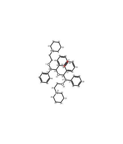 c1ccc(B(OCCN2CCCCC2)C(OC(B(OCCN2CCCCC2)c2ccccc2)c2ccccc2)c2ccccc2)cc1